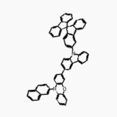 c1ccc2c(c1)Oc1cc(-c3ccc4c(c3)c3ccccc3n4-c3ccc4c(c3)-c3ccccc3C43c4ccccc4-c4ccccc43)ccc1N2c1ccc2ccccc2c1